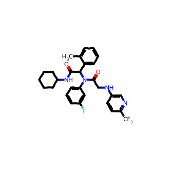 Cc1ccccc1C(C(=O)NC1CCCCC1)N(C(=O)CNc1ccc(C(F)(F)F)nc1)c1cccc(F)c1